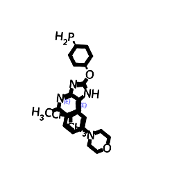 CC(Cl)/C=C1/NC(O[C@H]2CC[C@@H](P)CC2)=N/C1=N/C(C)c1ccc(N2CCOCC2)cc1